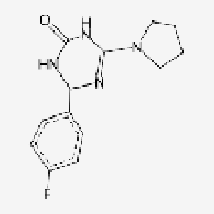 O=C1NC(N2CCCC2)=NC(c2ccc(F)cc2)N1